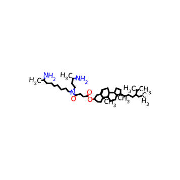 CCC(CCCC1CCC2C3CC=C4CC(OC(=O)CCC(=O)N(CCCCCCCC(C)N)CCC(C)N)CCC4(C)C3CCC12C)C(C)C